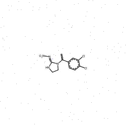 C=C(c1ccc(Cl)c(Cl)c1)N1CCN/C1=N\[N+](=O)[O-]